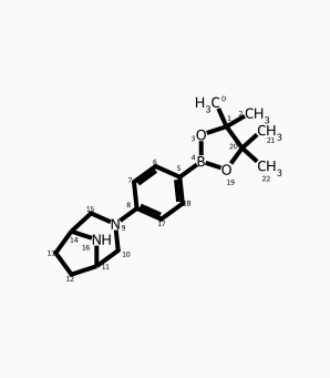 CC1(C)OB(c2ccc(N3CC4CCC(C3)N4)cc2)OC1(C)C